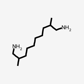 CC(CN)CCCCCCC(C)CN